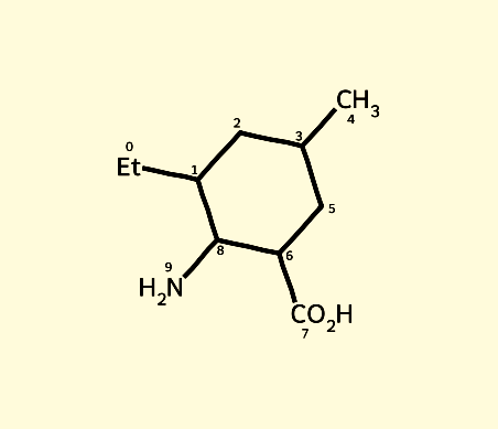 CCC1CC(C)CC(C(=O)O)C1N